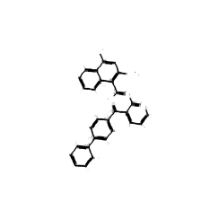 N#Cc1cc(Cl)c2ccccc2c1-c1nc(-c2ccc(-c3ccccc3)cc2)c2cccnc2n1